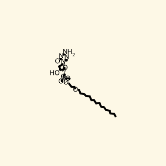 CCCCCCCCCCCCCCCCOCCCOP(=O)(OC)OC[C@H]1O[C@@H](n2cnc(N)nc2=O)CC1O